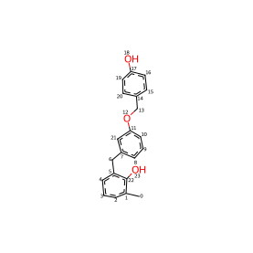 Cc1cccc(Cc2cccc(OCc3ccc(O)cc3)c2)c1O